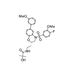 COc1cccc(-c2ccc3c(c2)N(S(=O)(=O)c2ccc(F)c(OC)c2)C[C@H](CCNC(=O)C(C)(C)O)O3)c1